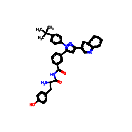 CC(C)(C)c1ccc(-n2nc(-c3cnc4ccccc4c3)cc2-c2cccc(C(=O)NC(=O)C(N)Cc3ccc(O)cc3)c2)cc1